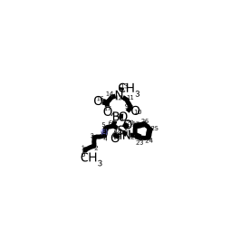 CCCC/C=C/C(B1OC(=O)CN(C)CC(=O)O1)S(=O)(=O)Nc1ccccc1